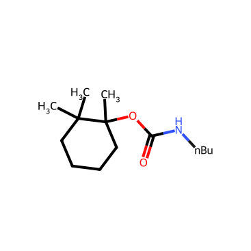 CCCCNC(=O)OC1(C)CCCCC1(C)C